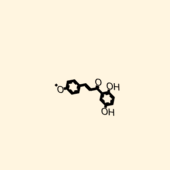 COc1ccc(C=CC(=O)c2cc(O)ccc2O)cc1